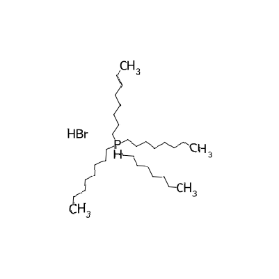 Br.CCCCCCCC[PH](CCCCCCCC)(CCCCCCCC)CCCCCCCC